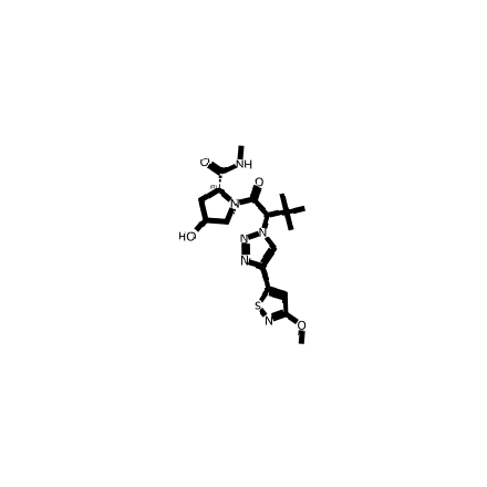 CNC(=O)[C@H]1CC(O)CN1C(=O)C(n1cc(-c2cc(OC)ns2)nn1)C(C)(C)C